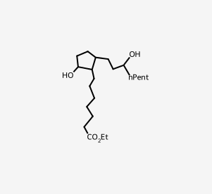 CCCCCC(O)CCC1CCC(O)C1CCCCCCC(=O)OCC